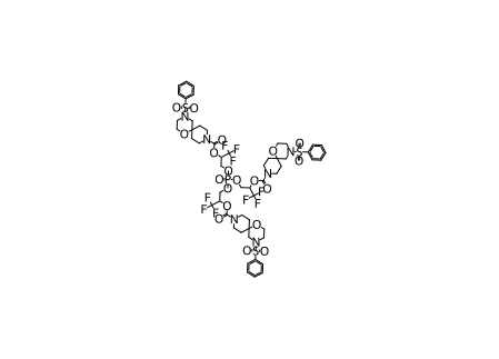 O=C(OC(COP(=O)(OCC(OC(=O)N1CCC2(CC1)CN(S(=O)(=O)c1ccccc1)CCO2)C(F)(F)F)OCC(OC(=O)N1CCC2(CC1)CN(S(=O)(=O)c1ccccc1)CCO2)C(F)(F)F)C(F)(F)F)N1CCC2(CC1)CN(S(=O)(=O)c1ccccc1)CCO2